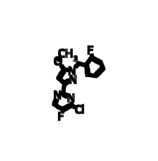 COc1cc(-c2ncc(F)c(Cl)n2)nn1Cc1ccccc1F